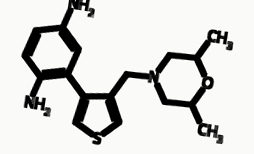 CC1CN(Cc2cscc2-c2cc(N)ccc2N)CC(C)O1